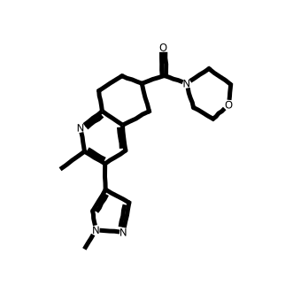 Cc1nc2c(cc1-c1cnn(C)c1)CC(C(=O)N1CCOCC1)CC2